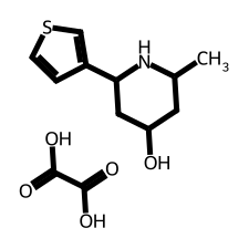 CC1CC(O)CC(c2ccsc2)N1.O=C(O)C(=O)O